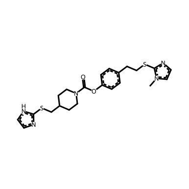 Cn1ccnc1SCCc1ccc(OC(=O)N2CCC(CSc3ncc[nH]3)CC2)cc1